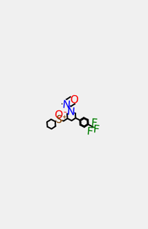 [O-][S+](CC1CC(c2ccc(C(F)(F)F)cc2)CN(C2COCC[N]2)C1)C1CCCCC1